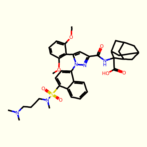 COc1cccc(OC)c1-c1cc(C(=O)NC2(C(=O)O)C3CC4CC(C3)CC2C4)nn1-c1ccc(S(=O)(=O)N(C)CCCN(C)C)c2ccccc12